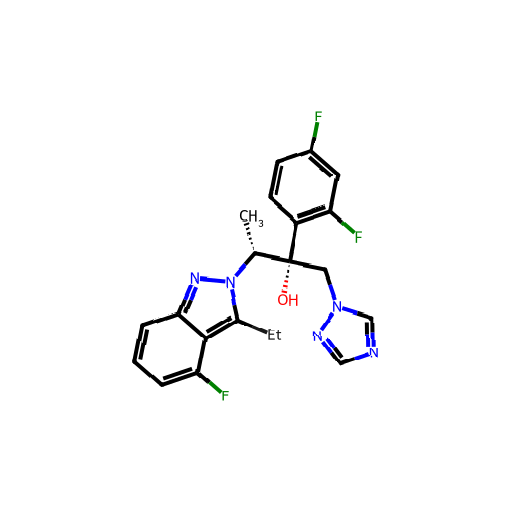 CCc1c2c(F)cccc2nn1[C@H](C)[C@](O)(Cn1cncn1)c1ccc(F)cc1F